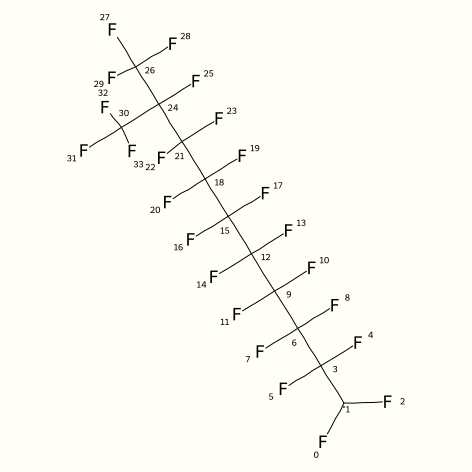 F[C](F)C(F)(F)C(F)(F)C(F)(F)C(F)(F)C(F)(F)C(F)(F)C(F)(F)C(F)(C(F)(F)F)C(F)(F)F